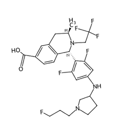 C[C@@H]1Cc2cc(C(=O)O)ccc2[C@@H](c2c(F)cc(NC3CCN(CCCF)C3)cc2F)N1CC(F)(F)F